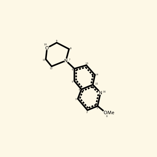 COc1ccc2cc(N3CCOCC3)ccc2n1